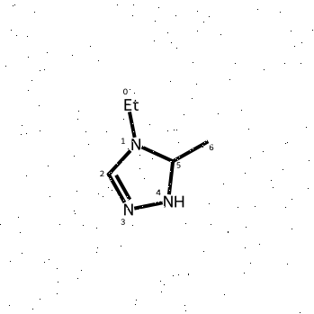 CCN1C=NNC1C